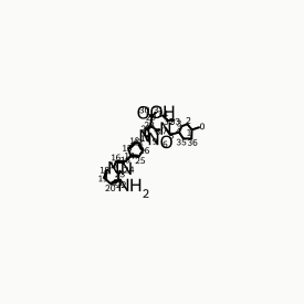 CC1CCC(C(=O)N(c2nn(-c3ccc(-c4cn5cccc(N)c5n4)cc3)cc2C(=O)O)C(C)C)CC1